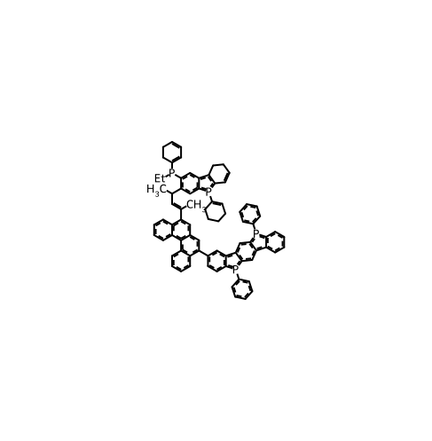 CCP(C1=CC=CCC1)c1cc2c3c(p(C4=CCCCC4)c2cc1C(C)/C=C(\C)c1cc2cc(-c4ccc5c(c4)c4cc6c(cc4p5-c4ccccc4)c4ccccc4p6-c4ccccc4)c4ccccc4c2c2ccccc12)C=CCC3